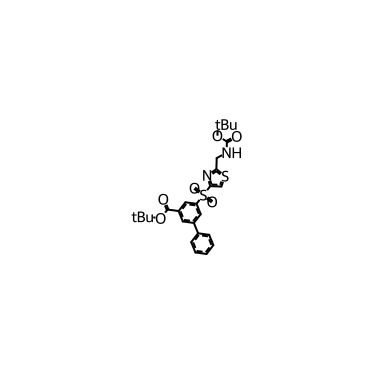 CC(C)(C)OC(=O)NCc1nc(S(=O)(=O)c2cc(C(=O)OC(C)(C)C)cc(-c3ccccc3)c2)cs1